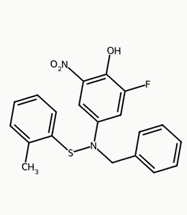 Cc1ccccc1SN(Cc1ccccc1)c1cc(F)c(O)c([N+](=O)[O-])c1